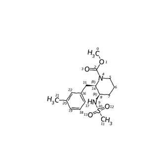 COC(=O)N1CCC[C@@H](NS(C)(=O)=O)[C@H]1Cc1cccc(C)c1